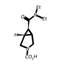 CCN(CC)C(=O)[C@H]1C2CN(C(=O)O)C[C@@H]21